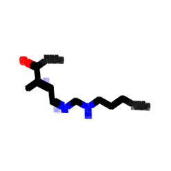 CNCCCNC/N=C\C=C(/C)C(=O)NC